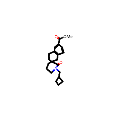 COC(=O)c1ccc2c(c1)CCC1(CCCN(CC3CCC3)C1=O)C2